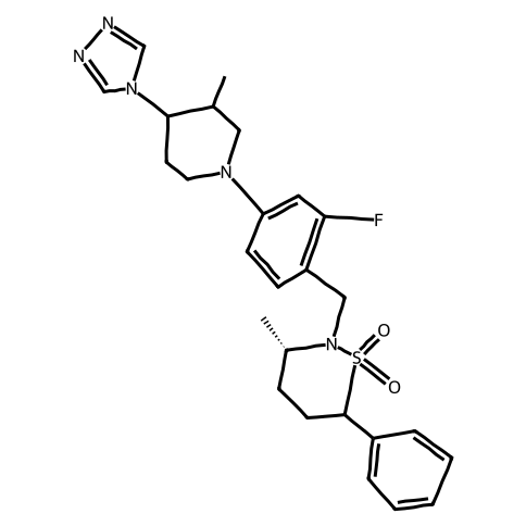 CC1CN(c2ccc(CN3[C@@H](C)CCC(c4ccccc4)S3(=O)=O)c(F)c2)CCC1n1cnnc1